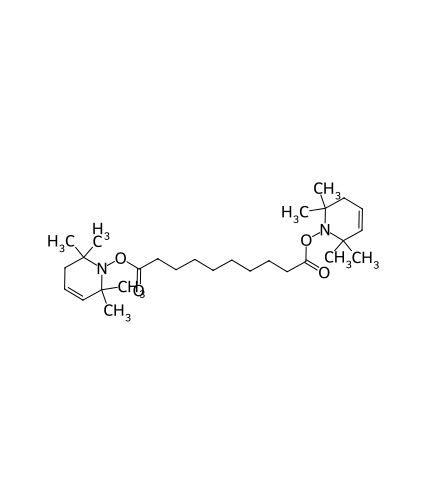 CC1(C)C=CCC(C)(C)N1OC(=O)CCCCCCCCC(=O)ON1C(C)(C)C=CCC1(C)C